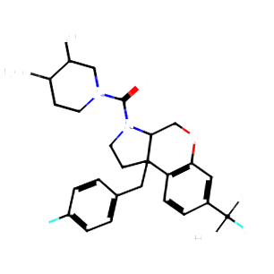 CC1CN(C(=O)N2CCC3(Cc4ccc(F)cc4)c4ccc(C(C)(F)C(F)(F)F)cc4OCC23)CCC1C(=O)O